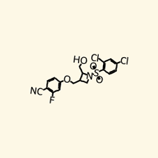 N#Cc1ccc(OCC2CN(S(=O)(=O)c3ccc(Cl)cc3Cl)C2CO)cc1F